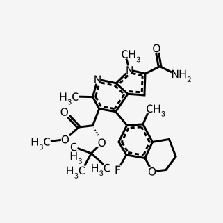 COC(=O)[C@@H](OC(C)(C)C)c1c(C)nc2c(cc(C(N)=O)n2C)c1-c1cc(F)c2c(c1C)CCCO2